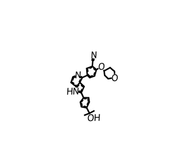 CC(C)(O)c1ccc(-c2cc3c(-c4ccc(OC5CCOCC5)c(C#N)c4)nccc3[nH]2)cc1